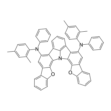 Cc1ccc(N(c2ccccc2)c2cc3c4ccccc4oc3c3c2c2cccc4c5c(N(c6ccccc6)c6ccc(C)cc6C)cc6c7ccccc7oc6c5n3c24)c(C)c1